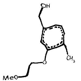 COCCOc1cc(CO)ccc1C